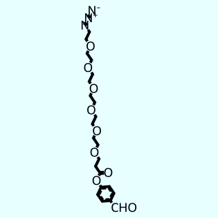 [N-]=[N+]=NCCOCCOCCOCCOCCOCCOCCC(=O)Oc1ccc(C=O)cc1